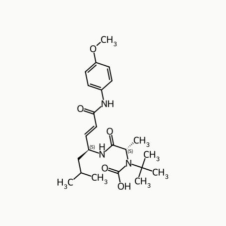 COc1ccc(NC(=O)C=C[C@H](CC(C)C)NC(=O)[C@H](C)N(C(=O)O)C(C)(C)C)cc1